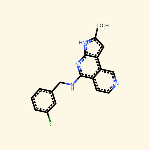 O=C(O)c1cc2c(nc(NCc3cccc(Cl)c3)c3ccncc32)[nH]1